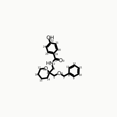 O=C(NCC1(COCc2ccccc2)CCCCO1)c1ccc(O)cc1